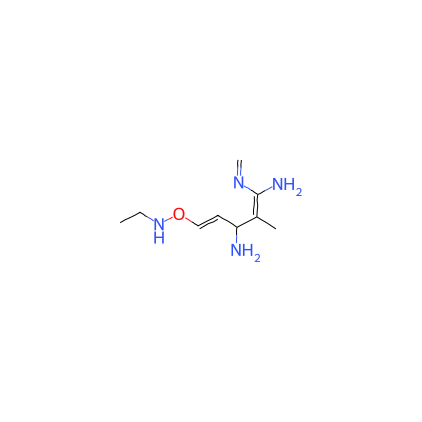 C=N/C(N)=C(/C)C(N)/C=C/ONCC